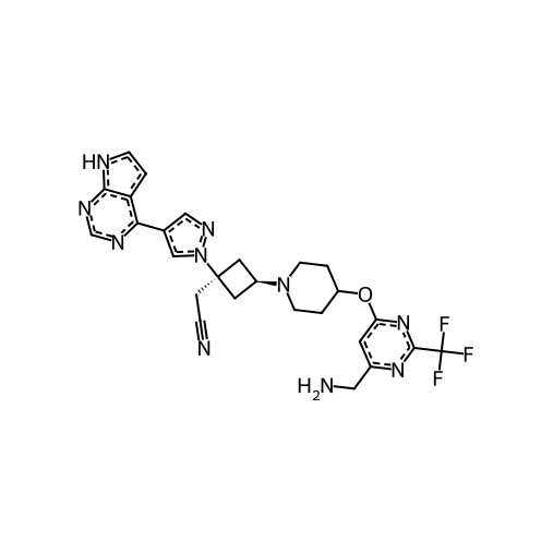 N#CC[C@]1(n2cc(-c3ncnc4[nH]ccc34)cn2)C[C@@H](N2CCC(Oc3cc(CN)nc(C(F)(F)F)n3)CC2)C1